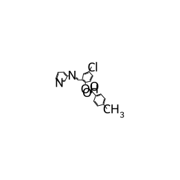 Cc1ccc(C(=O)Oc2cc(Cl)cc(C=Nc3cccnc3)c2O)cc1